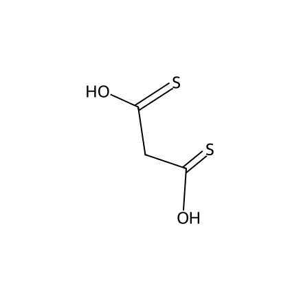 OC(=S)CC(O)=S